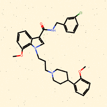 COc1ccccc1C1CCN(CCCn2cc(C(=O)NCc3cccc(Cl)c3)c3cccc(OC)c32)CC1